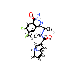 C[C@H](c1n[nH]c(=O)c2cc(F)c(F)cc12)N(C)C(=O)c1cc2ccccn2c1